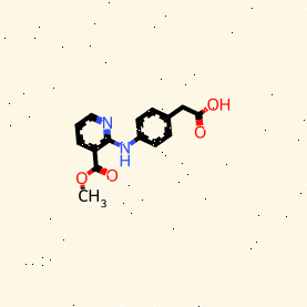 COC(=O)c1cccnc1Nc1ccc(CC(=O)O)cc1